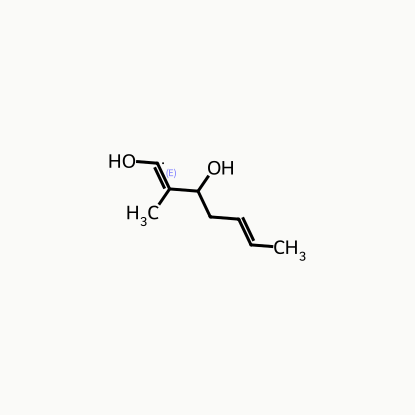 CC=CCC(O)/C(C)=[C]/O